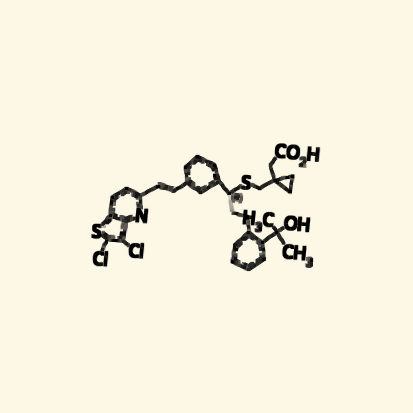 CC(C)(O)c1ccccc1CC[C@@H](SCC1(CC(=O)O)CC1)c1cccc(C=Cc2ccc3sc(Cl)c(Cl)c3n2)c1